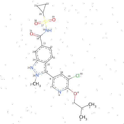 CC(C)COc1ncc(-c2c3ccc(C(=O)NS(=O)(=O)C4CC4)cc3nn2C)cc1Cl